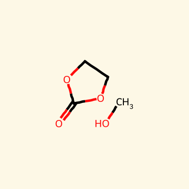 CO.O=C1OCCO1